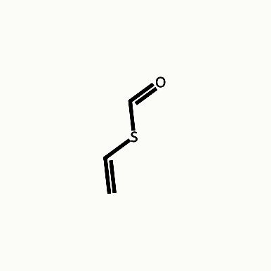 C=CSC=O